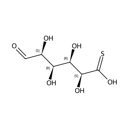 O=C[C@@H](O)[C@H](O)[C@@H](O)[C@H](O)C(O)=S